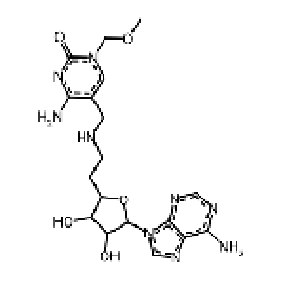 COCn1cc(CNCCC2OC(n3cnc4c(N)ncnc43)C(O)C2O)c(N)nc1=O